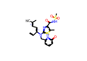 C=C/C(=C\C=C(/C)C#N)N(Cc1cccc(=O)[nH]1)c1nc(C(=O)NS(C)(=O)=O)c(C)s1